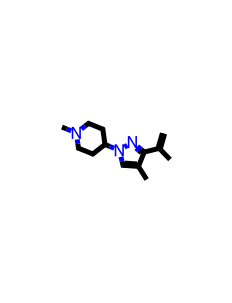 C=C(C)c1nn(C2CCN(C)CC2)cc1C